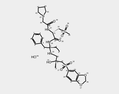 CC[C@](Cc1ccccc1)(NC[C@@](C)(O)CS(=O)(=O)c1ccc2c(c1)OCO2)NC(=O)[C@@H](CS(C)(=O)=O)NC(=O)CN1CCCC1.Cl